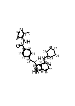 Cn1nccc1NC(=O)c1ccc(CCc2n[nH]c3ccnc(NC4CCCCC4)c23)cc1